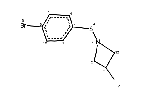 FC1CN(Sc2ccc(Br)cc2)C1